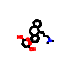 CN(C)CCC=C1c2ccccc2CCc2ccccc21.O=C(O)/C=C\C(=O)O